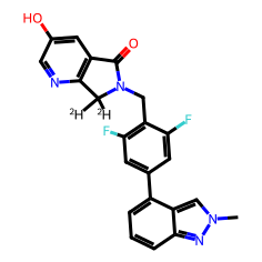 [2H]C1([2H])c2ncc(O)cc2C(=O)N1Cc1c(F)cc(-c2cccc3nn(C)cc23)cc1F